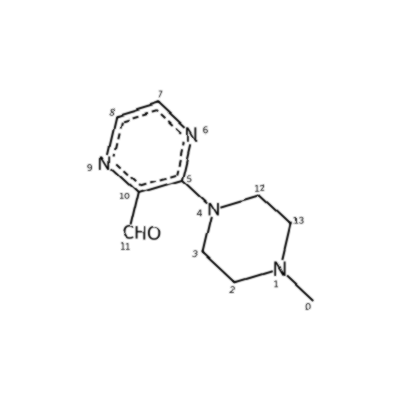 CN1CCN(c2nccnc2C=O)CC1